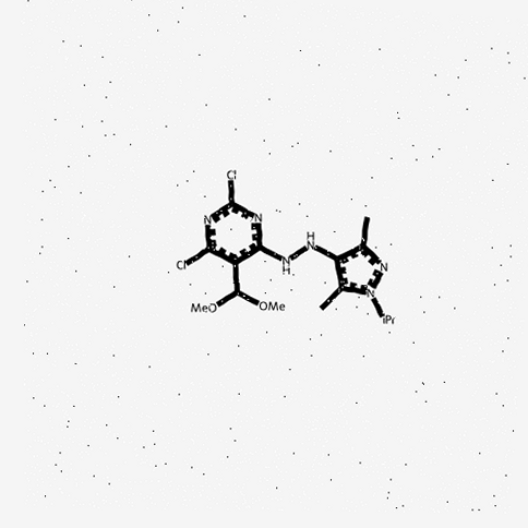 COC(OC)c1c(Cl)nc(Cl)nc1NNc1c(C)nn(C(C)C)c1C